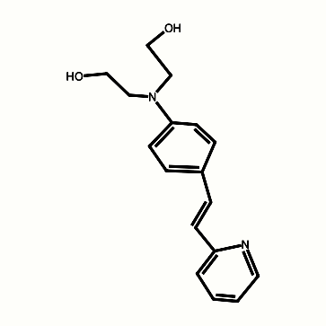 OCCN(CCO)c1ccc(/C=C/c2ccccn2)cc1